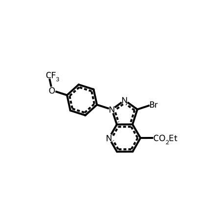 CCOC(=O)c1ccnc2c1c(Br)nn2-c1ccc(OC(F)(F)F)cc1